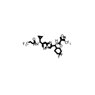 O=C(CCC(F)(F)F)N[C@@H](c1cnn2cc([C@@H](NC(=O)c3conc3C(F)(F)F)C3CCC(F)(F)CC3)nc2c1)C1CC1